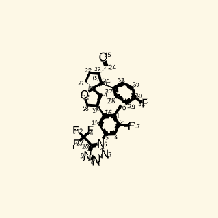 Cc1c(F)cc(-n2nnnc2C(F)(F)F)cc1[C@H]1CO[C@]2(CC[C@H](C=O)[C@H]2c2ccc(F)cc2)C1